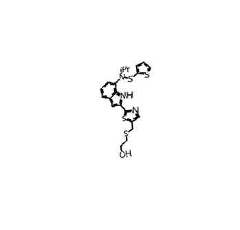 CC(C)N(Sc1cccs1)c1cccc2cc(-c3ncc(CSCCO)s3)[nH]c12